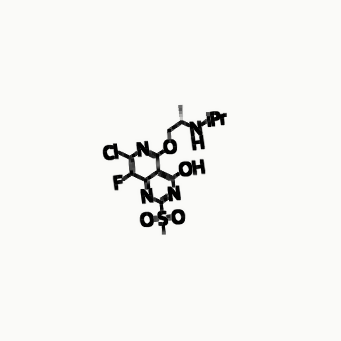 CC(C)N[C@@H](C)COc1nc(Cl)c(F)c2nc(S(C)(=O)=O)nc(O)c12